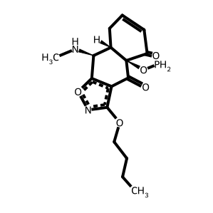 CCCCOc1noc2c1C(=O)[C@@]1(OP)C(=O)C=CC[C@H]1[C@@H]2NC